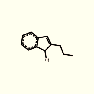 CCCC1=Cc2ccccc2[CH]1[Hf]